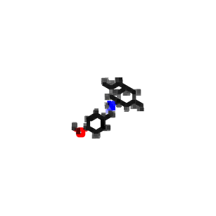 COC1C=CC(/C=N/C23CC(C)CC(CC(C)C2)C3)=CC1